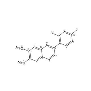 COc1cc2ccc(-c3ccc(C)cc3C)nc2cc1OC